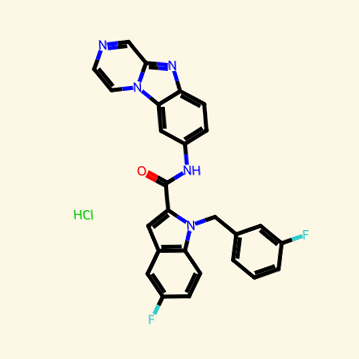 Cl.O=C(Nc1ccc2nc3cnccn3c2c1)c1cc2cc(F)ccc2n1Cc1cccc(F)c1